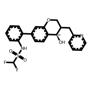 O=S(=O)(Nc1ccccc1-c1ccc2c(c1)OCC(Cc1ccccn1)[C@H]2O)C(F)F